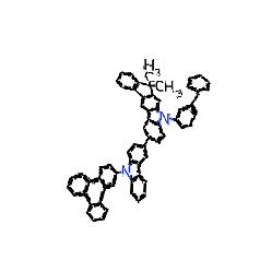 CC1(C)c2ccccc2-c2cc3c4cc(-c5ccc6c(c5)c5ccccc5n6-c5ccc6c7ccccc7c7ccccc7c6c5)ccc4n(-c4cccc(-c5ccccc5)c4)c3cc21